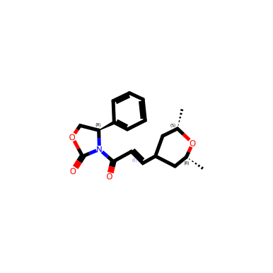 C[C@@H]1CC(/C=C/C(=O)N2C(=O)OC[C@H]2c2ccccc2)C[C@H](C)O1